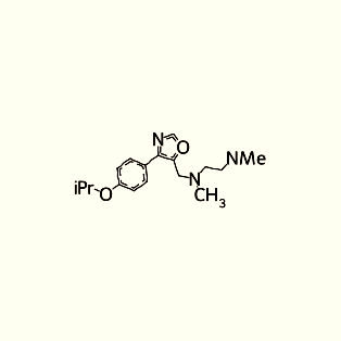 CNCCN(C)Cc1ocnc1-c1ccc(OC(C)C)cc1